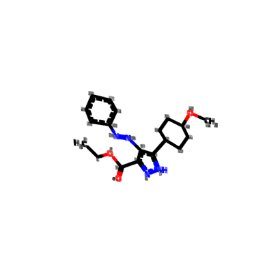 CCOC(=O)c1n[nH]c(C2CCC(OC)CC2)c1/N=N/c1ccccc1